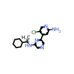 C[C@@H](Nc1cncc(-c2cc(N)ncc2Cl)n1)C1CCCCC1